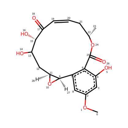 COc1cc(O)c2c(c1)[C@H]1O[C@H]1CC(O)[C@H](O)C(=O)/C=C\C[C@H](C)OC2=O